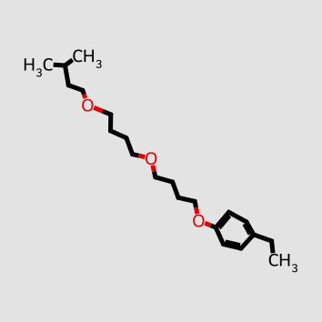 CCc1ccc(OCCCCOCCCCOCCC(C)C)cc1